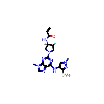 C=CC(=O)N[C@@H]1CN(c2nc(Nc3cn(C)nc3OC)c3ncn(C)c3n2)CC1F